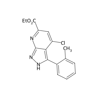 CCOC(=O)c1cc(Cl)c2c(-c3ccccc3C)[nH]nc2n1